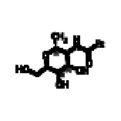 CCC(=O)NC1[C@@H](O)[C@@H](O)C(CO)O[C@@H]1C